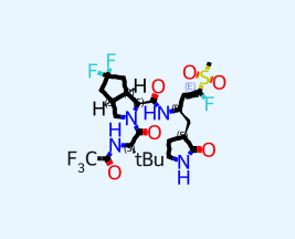 CC(C)(C)[C@H](NC(=O)C(F)(F)F)C(=O)N1C[C@H]2CC(F)(F)C[C@H]2[C@H]1C(=O)N[C@@H](/C=C(\F)S(C)(=O)=O)C[C@@H]1CCNC1=O